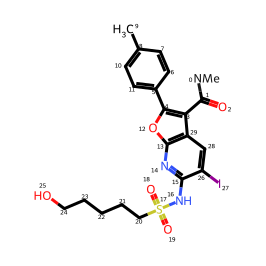 CNC(=O)c1c(-c2ccc(C)cc2)oc2nc(NS(=O)(=O)CCCCCO)c(I)cc12